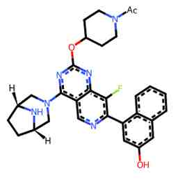 CC(=O)N1CCC(Oc2nc(N3C[C@H]4CC[C@@H](C3)N4)c3cnc(-c4cc(O)cc5ccccc45)c(F)c3n2)CC1